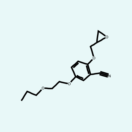 CCCOCCOc1ccc(OCC2CO2)c(C#N)c1